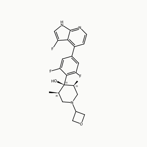 C[C@@H]1CN(C2COC2)C[C@H](C)[C@@]1(O)c1c(F)cc(-c2ccnc3[nH]cc(F)c23)cc1F